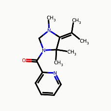 CC(C)=C1N(C)CN(C(=O)c2ccccn2)C1(C)C